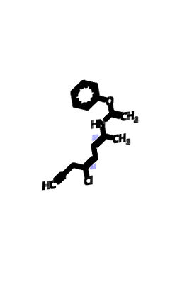 C#CC/C(Cl)=C\C=C(/C)NC(=C)Oc1ccccc1